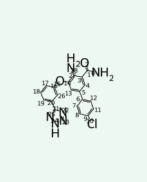 NC(=O)c1cc(-c2ccc(Cl)cc2)cc(Oc2cccc(-c3nn[nH]n3)c2)c1N